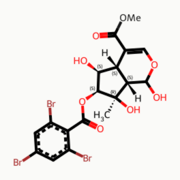 COC(=O)C1=COC(O)[C@H]2[C@@H]1[C@H](O)[C@H](OC(=O)c1c(Br)cc(Br)cc1Br)[C@]2(C)O